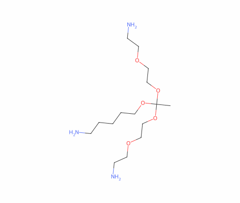 CC(OCCCCCN)(OCCOCCN)OCCOCCN